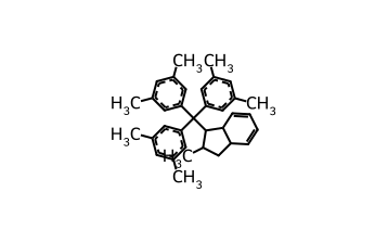 Cc1cc(C)cc(C(c2cc(C)cc(C)c2)(c2cc(C)cc(C)c2)C2C(C)CC3C=CC=CC32)c1